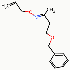 C=CCON=C(C)CCOCc1ccccc1